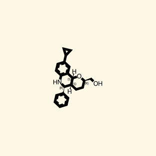 OC[C@H]1CC[C@@H]2[C@H](O1)c1cc(C3CC3)ccc1N[C@H]2c1ccccc1